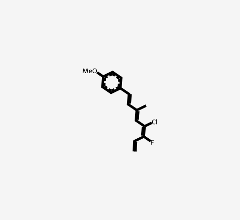 C=C\C(F)=C(Cl)/C=C(C)/C=C/c1ccc(OC)cc1